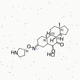 C[C@@]12CCC[C@H]1[C@@H]1C(=O)C(=O)C3C/C(=N/O[C@@H]4CCNC4)CC[C@]3(C)[C@H]1CC2.Cl